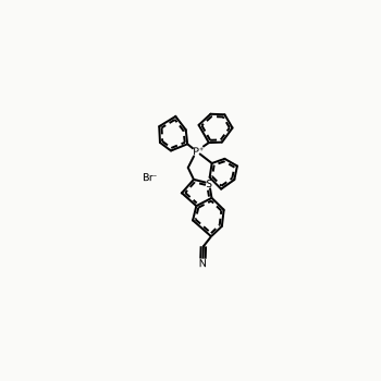 N#Cc1ccc2sc(C[P+](c3ccccc3)(c3ccccc3)c3ccccc3)cc2c1.[Br-]